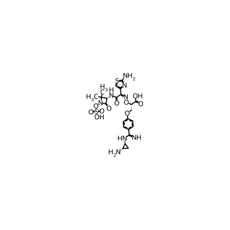 CC1(C)[C@H](NC(=O)/C(=N\O[C@@H](COc2ccc(C(=N)N[C@H]3C[C@@H]3N)cc2)C(=O)O)c2csc(N)n2)C(=O)N1OS(=O)(=O)O